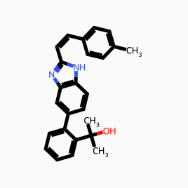 Cc1ccc(/C=C\c2nc3cc(-c4ccccc4C(C)(C)O)ccc3[nH]2)cc1